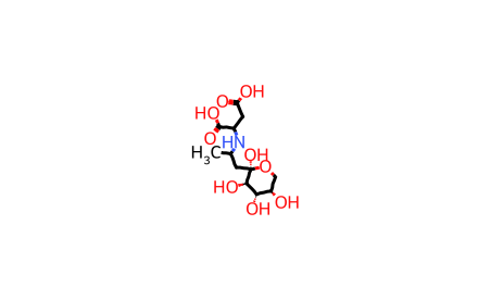 CC(C[C@@]1(O)OC[C@@H](O)[C@H](O)[C@H]1O)NC(CC(=O)O)C(=O)O